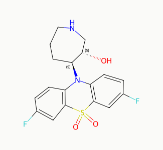 O=S1(=O)c2cc(F)ccc2N([C@H]2CCCNC[C@@H]2O)c2ccc(F)cc21